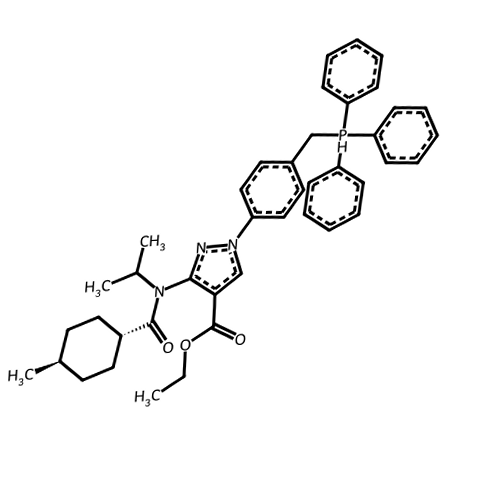 CCOC(=O)c1cn(-c2ccc(C[PH](c3ccccc3)(c3ccccc3)c3ccccc3)cc2)nc1N(C(=O)[C@H]1CC[C@H](C)CC1)C(C)C